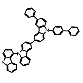 c1ccc(-c2ccc(-n3c4ccc(-c5ccccc5)cc4c4cc(-c5ccc6c(c5)c5ccccc5n6-c5cccc6sc7ccccc7c56)ccc43)cc2)cc1